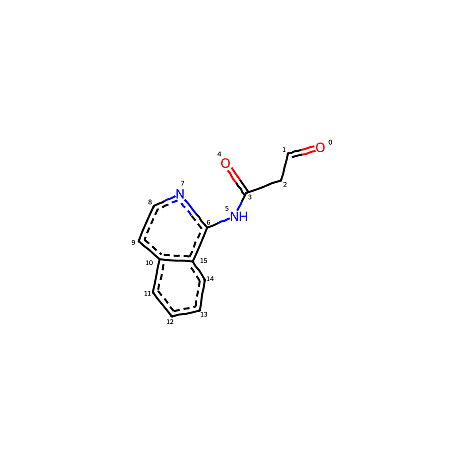 O=CCC(=O)Nc1nccc2ccccc12